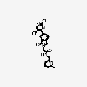 Cc1cccc(CNC(=O)CN2Cc3ccc(-c4nc(Cl)ncc4Cl)cc3C2=O)n1